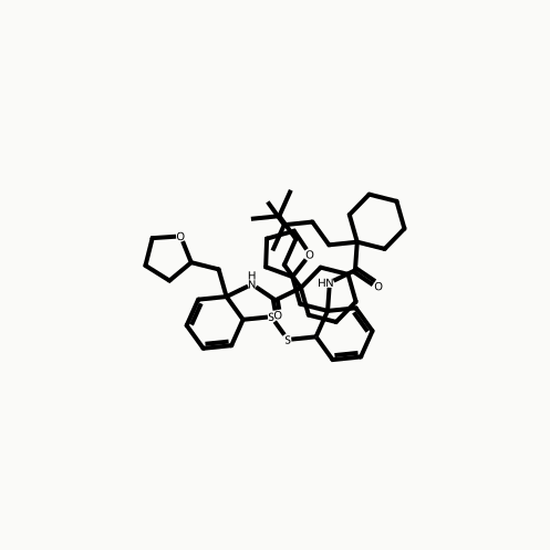 CC(C)CCC1(C(=O)NC2(CC3CCCO3)C=CC=CC2SSC2C=CC=CC2(CC2CCCO2)NC(=O)C2(CCC(C)C)CCCCC2)CCCCC1